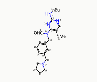 CCCCNc1ncc(NC)c(N(C=O)Cc2cccc(CN3CCCC3)c2)n1